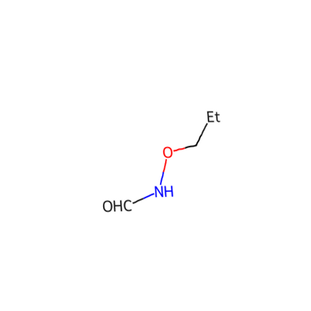 CCCONC=O